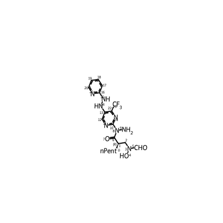 CCCCC[C@H](CN(O)C=O)C(=O)N(N)c1ncc(NNc2ccccn2)c(C(F)(F)F)n1